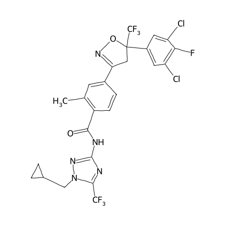 Cc1cc(C2=NOC(c3cc(Cl)c(F)c(Cl)c3)(C(F)(F)F)C2)ccc1C(=O)Nc1nc(C(F)(F)F)n(CC2CC2)n1